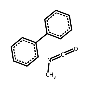 CN=C=O.c1ccc(-c2ccccc2)cc1